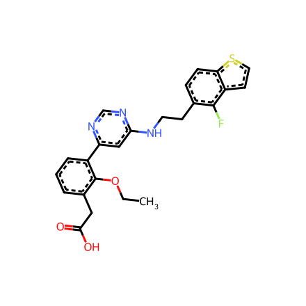 CCOc1c(CC(=O)O)cccc1-c1cc(NCCc2ccc3sccc3c2F)ncn1